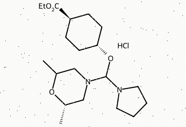 CCOC(=O)[C@H]1CC[C@H](OC(N2CCCC2)N2CC(C)O[C@@H](C)C2)CC1.Cl